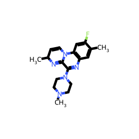 Cc1cc2c(cc1F)N1C=CC(C)N=C1C(N1CCN(C)CC1)=N2